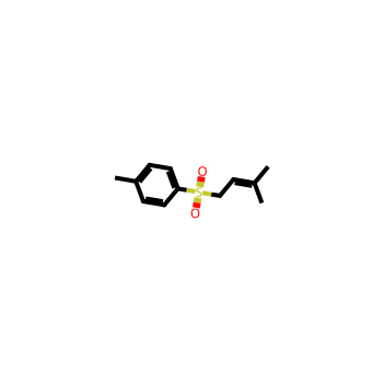 CC(C)=CCS(=O)(=O)c1ccc(C)cc1